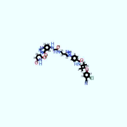 CC1(C)[C@H](NC(=O)c2ccc(-n3cc(CCNC(=O)CNc4ccc5nnn(C6CCC(=O)NC6=O)c(=O)c5c4)nn3)cc2)C(C)(C)[C@H]1Oc1ccc(C#N)c(Cl)c1